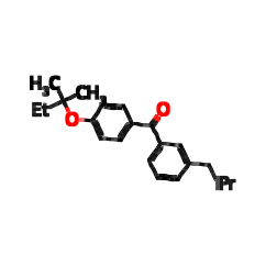 CCC(C)(C)Oc1ccc(C(=O)c2cccc(CC(C)C)c2)cc1